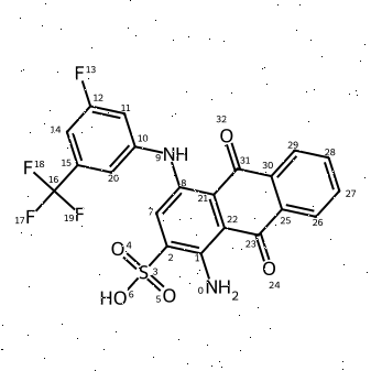 Nc1c(S(=O)(=O)O)cc(Nc2cc(F)cc(C(F)(F)F)c2)c2c1C(=O)c1ccccc1C2=O